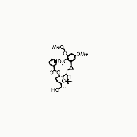 COCOc1cc(OC)cc(C2CC2C[C@@H]2OC(C)(C)O[C@@H]2C(/C=C\C[C@H](C)O)OC(=O)c2ccccc2)c1C(=O)O